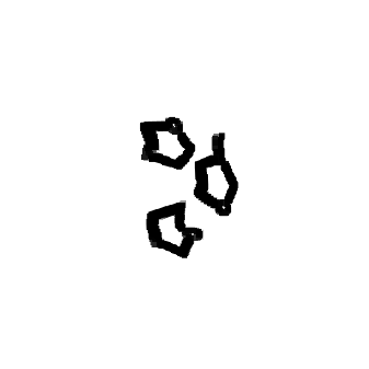 C1=COCN1.C1=NCCO1.C1=NCOC1